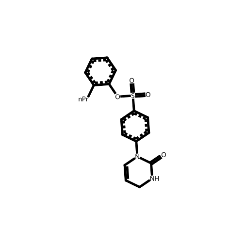 CCCc1ccccc1OS(=O)(=O)c1ccc(N2C=CCNC2=O)cc1